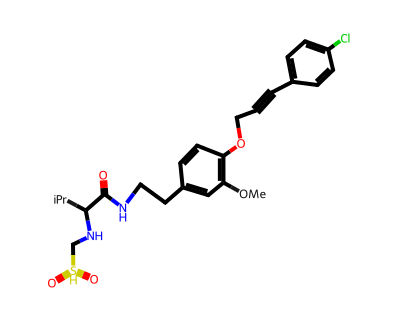 COc1cc(CCNC(=O)C(NC[SH](=O)=O)C(C)C)ccc1OCC#Cc1ccc(Cl)cc1